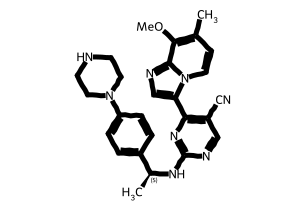 COc1c(C)ccn2c(-c3nc(N[C@@H](C)c4ccc(N5CCNCC5)cc4)ncc3C#N)cnc12